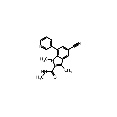 CNC(=O)c1c(C)c2cc(C#N)cc(-c3cccnc3)c2n1C